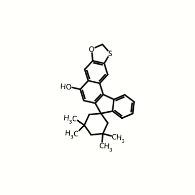 CC1(C)CC(C)(C)CC2(C1)c1ccccc1-c1c2cc(O)c2cc3c(cc12)SCO3